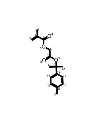 C=C(C)C(=O)OCC(=O)OC(C)(C)c1ccc(C)cc1